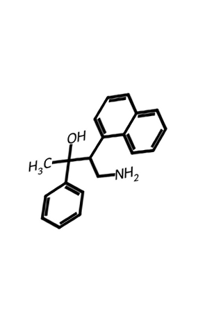 CC(O)(c1ccccc1)C(CN)c1cccc2ccccc12